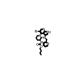 CCCCOC(=O)NC1CCCN(c2c(Br)cnc3[nH]cc(NCc4ccccn4)c23)C1